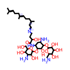 CC(C)=CCC/C(C)=C/CC/C(C)=C/C=N/CCC(O)C(=O)NC1CC(N)C(OC2OC(CN)C(O)C(O)C2O)C(O)C1OC1OC(CO)C(O)C(N)[C@@H]1O